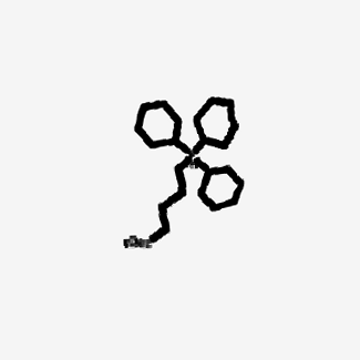 CCCCCCCCCCCCCC[PH](C1CCCCC1)(C1CCCCC1)C1CCCCC1